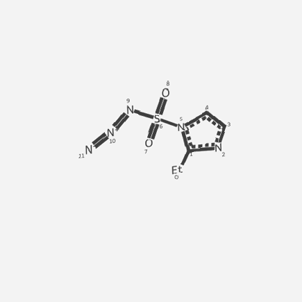 CCc1nccn1S(=O)(=O)N=[N+]=[N-]